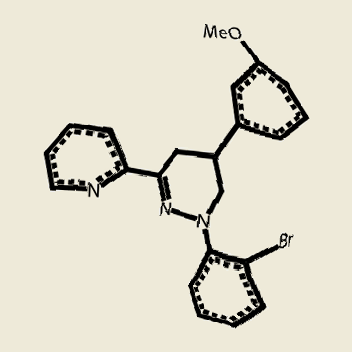 COc1cccc(C2CC(c3ccccn3)=NN(c3ccccc3Br)C2)c1